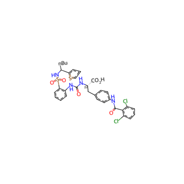 CCCCC(NS(=O)(=O)c1ccccc1NC(=O)N[C@@H](Cc1ccc(NC(=O)c2c(Cl)cccc2Cl)cc1)C(=O)O)c1cccs1